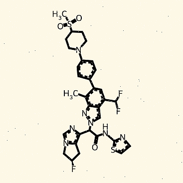 Cc1c(-c2ccc(N3CCC(S(C)(=O)=O)CC3)cc2)cc(C(F)F)c2cn(C(C(=O)Nc3nccs3)c3ncn4c3C[C@@H](F)C4)nc12